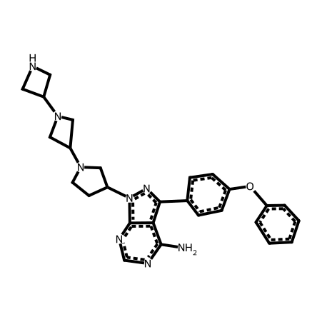 Nc1ncnc2c1c(-c1ccc(Oc3ccccc3)cc1)nn2C1CCN(C2CN(C3CNC3)C2)C1